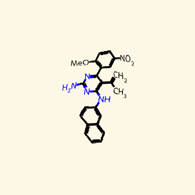 C=C(C)c1c(Nc2ccc3ccccc3c2)nc(N)nc1-c1cc([N+](=O)[O-])ccc1OC